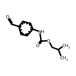 CC(C)COC(=O)Nc1ccc([C]=O)cc1